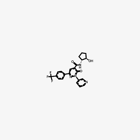 O=C(N[C@@H]1CCC[C@H]1O)c1cc(-c2ccc(C(F)(F)F)cc2)nn(-c2cccnc2)c1=O